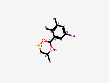 Cc1cc(I)cc(C2OPCC(C)O2)c1C